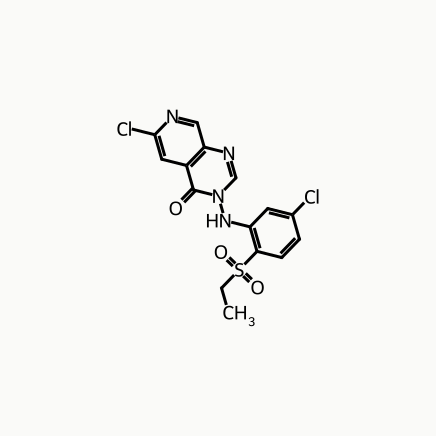 CCS(=O)(=O)c1ccc(Cl)cc1Nn1cnc2cnc(Cl)cc2c1=O